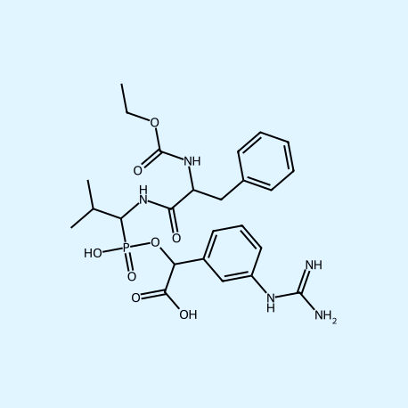 CCOC(=O)NC(Cc1ccccc1)C(=O)NC(C(C)C)P(=O)(O)OC(C(=O)O)c1cccc(NC(=N)N)c1